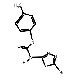 CCN(C(=O)Nc1ccc(C)cc1)c1nnc(Br)s1